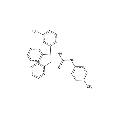 O=C(Nc1ccc(C(F)(F)F)cc1)NC(Cc1ccccc1)(c1cccc(C(F)(F)F)c1)c1ccccn1